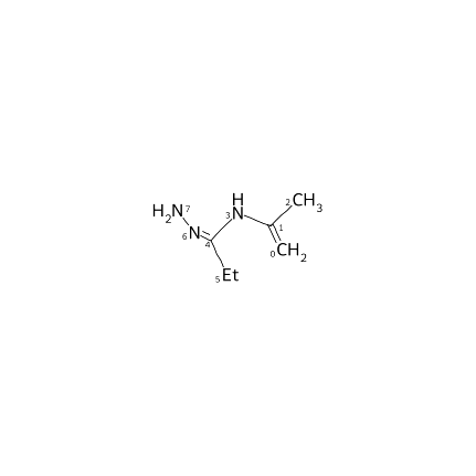 C=C(C)N/C(CC)=N\N